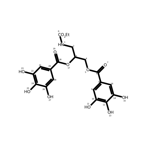 CCOC(=O)NCC(COC(=O)c1cc(O)c(O)c(O)c1)OC(=O)c1cc(O)c(O)c(O)c1